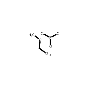 CCOC.ClB(Cl)Cl